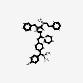 CN(CCc1ccccc1)c1oc(C(CC2CCC(C(c3ccc(F)cc3)N(C)C)CC2)N2CCCCC2)nc1Cc1ccccc1